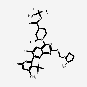 Cc1cc(N)nc(-c2cc3nc(OC[C@@H]4CCCN4C)nc(N4CCN(C(=O)OC(C)(C)C)CC4C)c3cc2Cl)c1C(F)(F)F